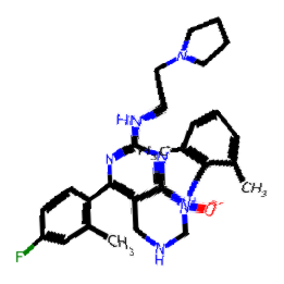 Cc1cc(F)ccc1-c1nc(NCCN2CCCC2)nc2c1CNC[N+]2([O-])c1c(C)cccc1C